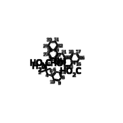 CC(C)(N)Cc1ccccc1.O=C(O)c1cc2ccccc2c(Cc2c(O)c(C(=O)O)cc3ccccc23)c1O